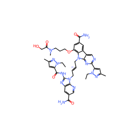 CCn1nc(C)cc1C(=O)Nc1nc2cc(C(N)=O)cnc2n1C/C=C/Cn1c2nc(-c3cc(C)nn3CC)ncc2c2cc(C(N)=O)cc(OCCCN(C)C(=O)CO)c21